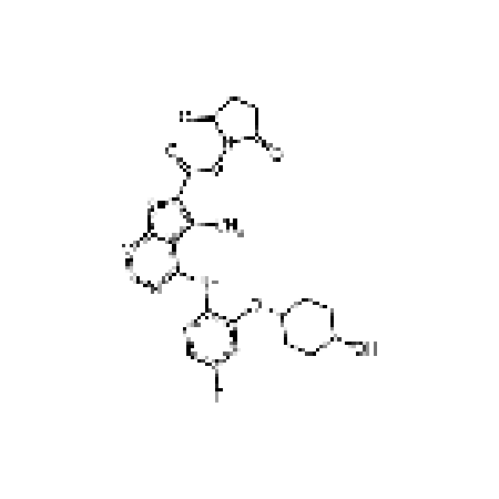 Cc1c(C(=O)ON2C(=O)CCC2=O)sc2ncnc(Nc3ccc(F)cc3O[C@H]3CC[C@H](O)CC3)c12